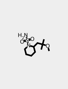 COC(C)(C)CC1CCCCN1S(N)(=O)=O